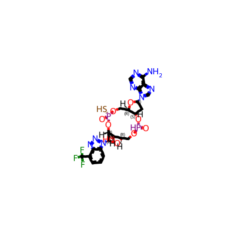 Nc1ncnc2c1ncn2[C@H]1C[C@@H]2O[PH](=O)OC[C@H]3O[C@@H](n4nnc5c(C(F)(F)F)cccc54)[C@H](OP(=O)(S)OC[C@H]2O1)[C@@H]3O